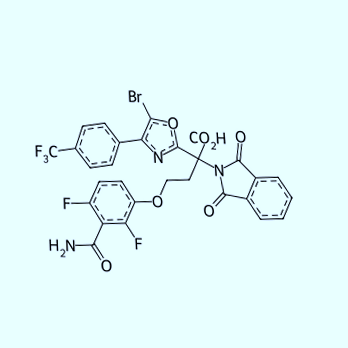 NC(=O)c1c(F)ccc(OCCC(C(=O)O)(c2nc(-c3ccc(C(F)(F)F)cc3)c(Br)o2)N2C(=O)c3ccccc3C2=O)c1F